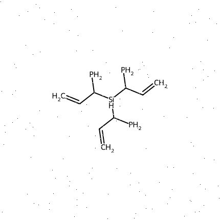 C=CC(P)[SiH](C(P)C=C)C(P)C=C